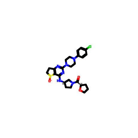 O=C([C@@H]1CCCO1)N1CC[C@@H](Nc2nc(N3CCN(c4ccc(Cl)cc4)CC3)nc3c2[S+]([O-])CC3)C1